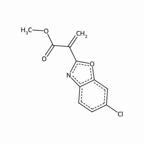 C=C(C(=O)OC)c1nc2ccc(Cl)cc2o1